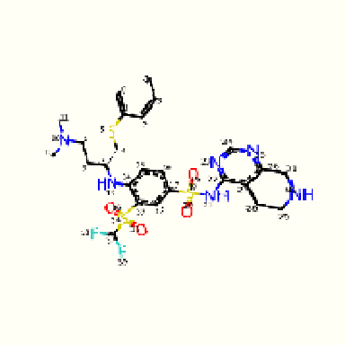 C=C(/C=C\C)SC[C@@H](CCN(C)C)Nc1ccc(S(=O)(=O)Nc2ncnc3c2CCNC3)cc1S(=O)(=O)C(F)F